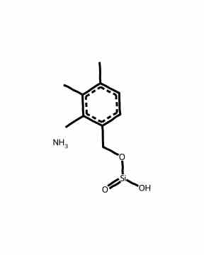 Cc1ccc(CO[Si](=O)O)c(C)c1C.N